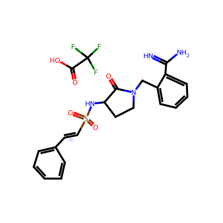 N=C(N)c1ccccc1CN1CCC(NS(=O)(=O)/C=C/c2ccccc2)C1=O.O=C(O)C(F)(F)F